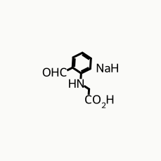 O=Cc1ccccc1NCC(=O)O.[NaH]